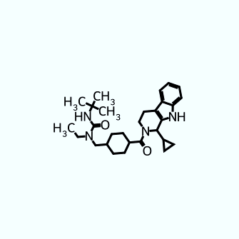 CCN(CC1CCC(C(=O)N2CCc3c([nH]c4ccccc34)C2C2CC2)CC1)C(=O)NC(C)(C)C